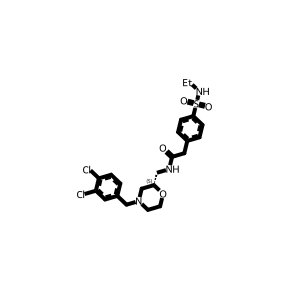 CCNS(=O)(=O)c1ccc(CC(=O)NC[C@H]2CN(Cc3ccc(Cl)c(Cl)c3)CCO2)cc1